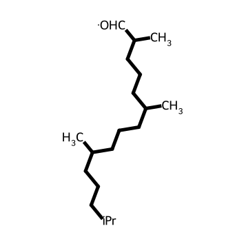 CC(C)CCCC(C)CCCC(C)CCCC(C)[C]=O